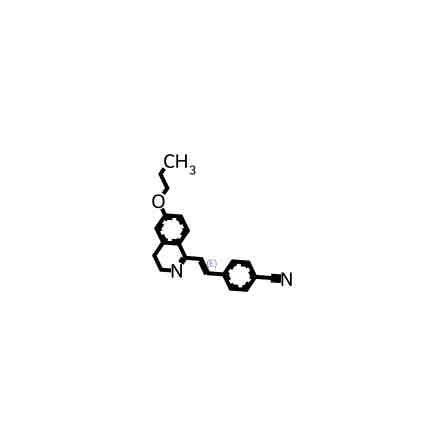 CCCOc1ccc2c(c1)CCN=C2/C=C/c1ccc(C#N)cc1